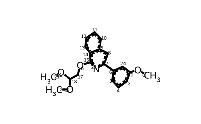 COc1cccc(-c2cc3ccccc3c(OCC(OC)OC)n2)c1